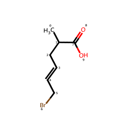 CC(CC=CCBr)C(=O)O